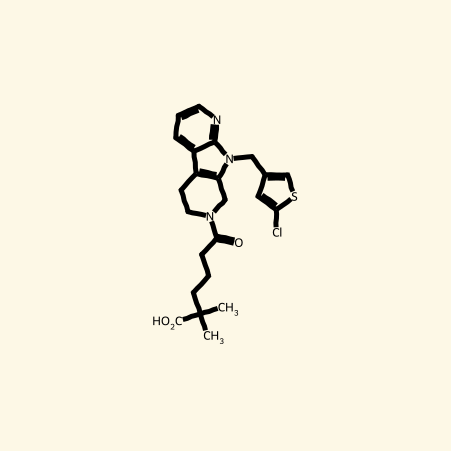 CC(C)(CCCC(=O)N1CCc2c(n(Cc3csc(Cl)c3)c3ncccc23)C1)C(=O)O